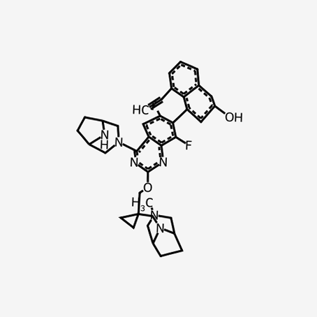 C#Cc1cccc2cc(O)cc(-c3c(F)cc4c(N5CC6CCC(C5)N6)nc(OCC5(CN6C7CCC6CN(C)C7)CC5)nc4c3F)c12